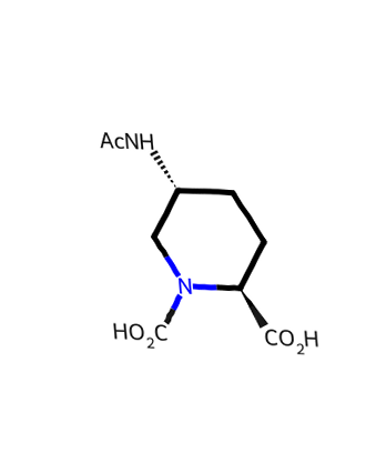 CC(=O)N[C@@H]1CC[C@@H](C(=O)O)N(C(=O)O)C1